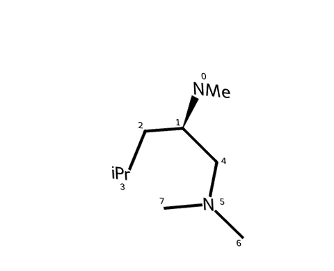 CN[C@H](CC(C)C)CN(C)C